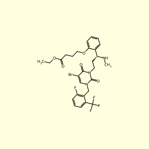 CCOC(=O)CCCOc1ccccc1[C@H](CCn1c(=O)c(Br)cn(Cc2c(F)cccc2C(F)(F)F)c1=O)NC